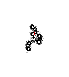 c1ccc(-c2nc(-c3ccc4sc5ccccc5c4c3)nc(-c3cccc4oc5ccc(-c6ccc7c(c6)sc6ccccc67)cc5c34)n2)cc1